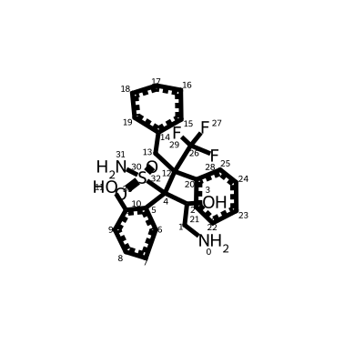 NCC(O)C(c1ccccc1O)(C(Cc1ccccc1)(c1ccccc1)C(F)(F)F)S(N)(=O)=O